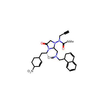 C#CCN(C(=O)NC)N1CC(=O)N([C@H](C=O)CC2C=CC([N+](=O)[O-])CC2)C1CN(C)CC1CC=Cc2ccccc21